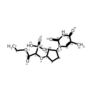 CCOC(=O)C(O[C@@H]1CC[C@H](n2cc(C)c(=O)[nH]c2=O)C1)P(=O)(O)O